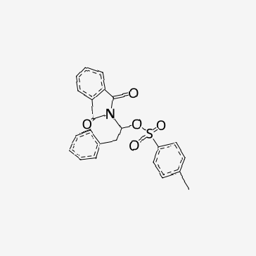 Cc1ccc(S(=O)(=O)OC(Cc2ccccc2)N2C(=O)c3ccccc3C2=O)cc1